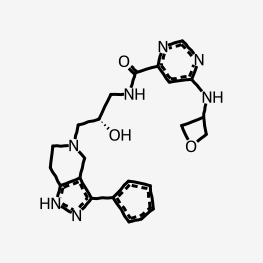 O=C(NC[C@H](O)CN1CCc2[nH]nc(-c3ccccc3)c2C1)c1cc(NC2COC2)ncn1